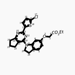 CCOC(=O)COc1ccc2c(c1)N(c1nc(-c3ccc(Cl)s3)nc3c1CCC3)CC2